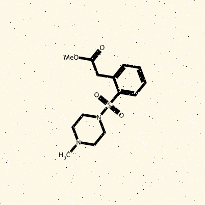 COC(=O)Cc1ccccc1S(=O)(=O)N1CCN(C)CC1